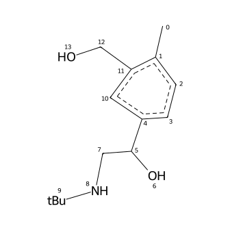 Cc1ccc(C(O)CNC(C)(C)C)cc1CO